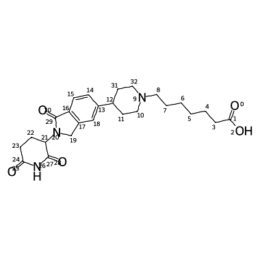 O=C(O)CCCCCCN1CCC(c2ccc3c(c2)CN(C2CCC(=O)NC2=O)C3=O)CC1